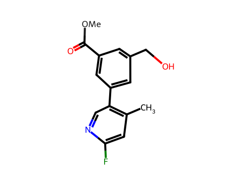 COC(=O)c1cc(CO)cc(-c2cnc(F)cc2C)c1